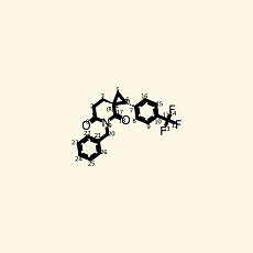 O=C1CC[C@]2(C[C@@H]2c2ccc(C(F)(F)F)cc2)C(=O)N1Cc1ccccc1